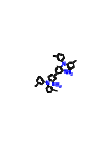 Cc1cccc(N(c2cccc(C)c2)c2ccc(-c3ccc(N(c4cccc(C)c4)c4cccc(C)c4)c(N)c3)cc2N)c1